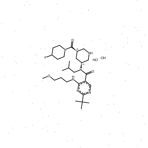 COCCCNc1nc(C(C)(C)C)ncc1C(=O)N(CC(C)C)[C@@H]1CNC[C@H](C(=O)N2CCC(F)CC2)C1.Cl.Cl